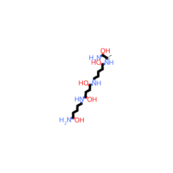 C[C@H](NC(O)CCCCNC(O)CCC(O)NCCCCC(N)O)C(N)O